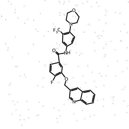 O=C(Nc1ccc(N2CCOCC2)c(C(F)(F)F)c1)c1ccc(F)c(OCc2cnc3ccccc3c2)c1